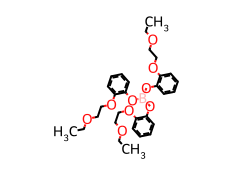 CCOCCOc1ccccc1OB(Oc1ccccc1OCCOCC)Oc1ccccc1OCCOCC